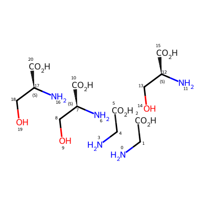 NCC(=O)O.NCC(=O)O.N[C@@H](CO)C(=O)O.N[C@@H](CO)C(=O)O.N[C@@H](CO)C(=O)O